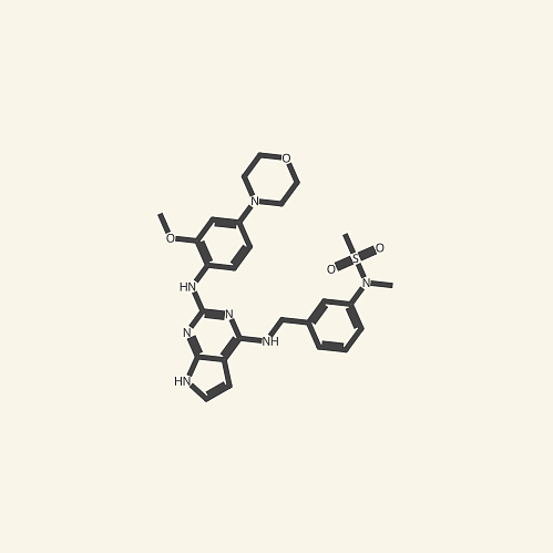 COc1cc(N2CCOCC2)ccc1Nc1nc(NCc2cccc(N(C)S(C)(=O)=O)c2)c2cc[nH]c2n1